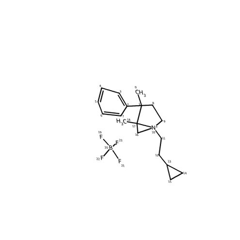 CC1(c2ccccc2)CC[N+]2(CCC3CC3)CC12C.F[B-](F)(F)F